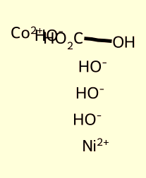 O=C(O)O.[Co+2].[Ni+2].[OH-].[OH-].[OH-].[OH-]